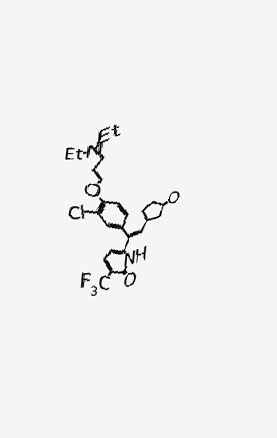 CCN(CC)CCCOc1ccc(/C(=C\[C@H]2CCC(=O)C2)c2ccc(C(F)(F)F)c(=O)[nH]2)cc1Cl